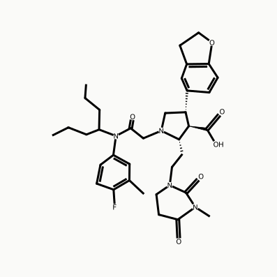 CCCC(CCC)N(C(=O)CN1C[C@H](c2ccc3c(c2)CCO3)[C@@H](C(=O)O)[C@@H]1CCN1CCC(=O)N(C)C1=O)c1ccc(F)c(C)c1